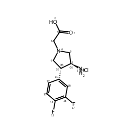 Cl.N[C@@H]1CN(CC(=O)O)C[C@H]1c1ccc(F)c(F)c1